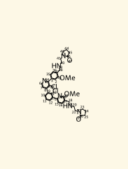 COc1cc(-c2nccc(-c3cccc(-c4ccc(CNCCN5CCCC5=O)c(OC)n4)c3Cl)c2Cl)ccc1CNCCN1CCCC1=O